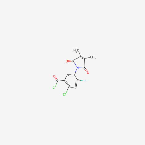 CC1=C(C)C(=O)N(c2cc(C(=O)Cl)c(Cl)cc2F)C1=O